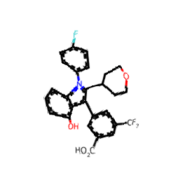 O=C(O)c1cc(-c2c(C3CCOCC3)n(-c3ccc(F)cc3)c3cccc(O)c23)cc(C(F)(F)F)c1